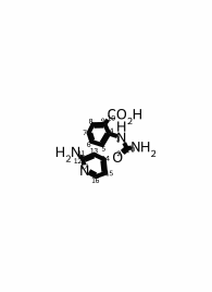 NC(=O)Nc1ccccc1C(=O)O.Nc1ccccn1